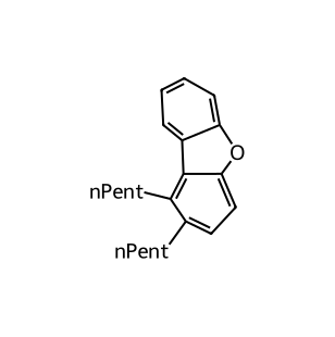 CCCCCc1ccc2oc3ccccc3c2c1CCCCC